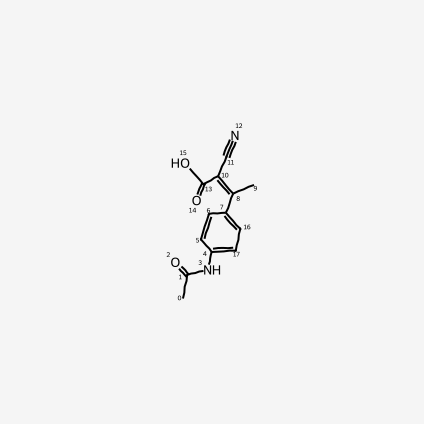 CC(=O)Nc1ccc(C(C)=C(C#N)C(=O)O)cc1